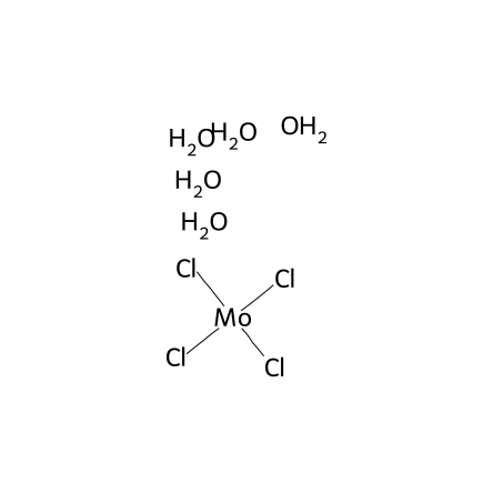 O.O.O.O.O.[Cl][Mo]([Cl])([Cl])[Cl]